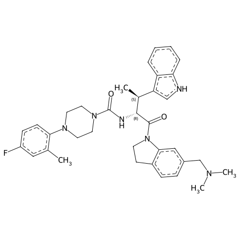 Cc1cc(F)ccc1N1CCN(C(=O)N[C@@H](C(=O)N2CCc3ccc(CN(C)C)cc32)[C@@H](C)c2c[nH]c3ccccc23)CC1